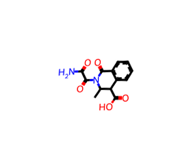 CC1C(C(=O)O)c2ccccc2C(=O)N1C(=O)C(N)=O